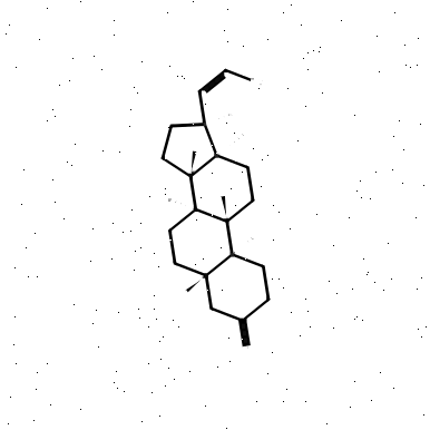 C[C@]12CC[C@H]3[C@@H](CC[C@H]4CC(=O)CC[C@@H]43)[C@@H]1CC[C@@]2(O)/C=C\Br